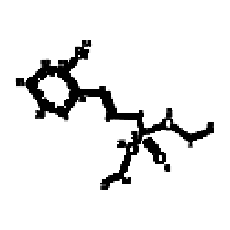 CCOP(=O)(C/C=C/c1ccccc1Br)OCC